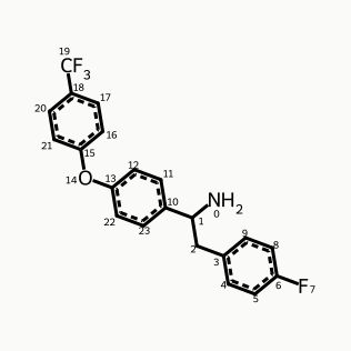 NC(Cc1ccc(F)cc1)c1ccc(Oc2ccc(C(F)(F)F)cc2)cc1